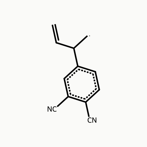 [CH2]C(C=C)c1ccc(C#N)c(C#N)c1